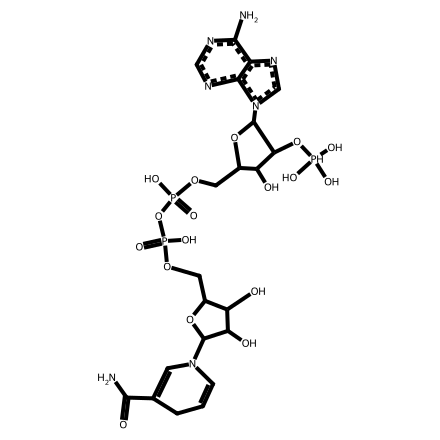 NC(=O)C1=CN(C2OC(COP(=O)(O)OP(=O)(O)OCC3OC(n4cnc5c(N)ncnc54)C(O[PH](O)(O)O)C3O)C(O)C2O)C=CC1